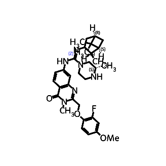 COc1ccc(OCc2nc3cc(N/C(=N/C4C[C@H]5C[C@@H]([C@@H]4C)C5(C)C)N4CCN[C@@H](C)C4)ccc3c(=O)n2C)c(F)c1